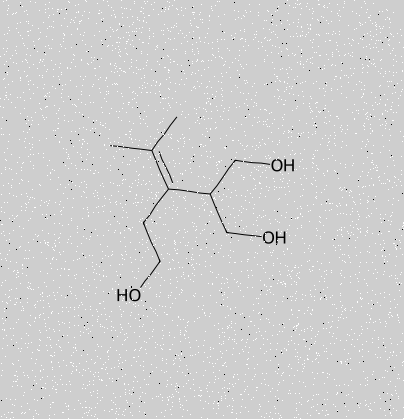 CC(C)=C(CCO)C(CO)CO